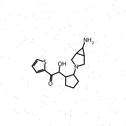 NC1C2CN(C3CCCC3C(O)C(=O)c3cccs3)CC12